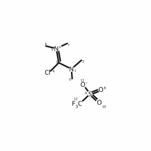 CN(C)C(Cl)=[N+](C)C.O=S(=O)([O-])C(F)(F)F